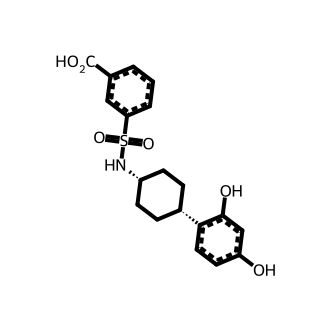 O=C(O)c1cccc(S(=O)(=O)N[C@H]2CC[C@@H](c3ccc(O)cc3O)CC2)c1